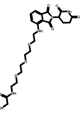 NCC(=O)NCCOCCOCCOCCNc1cccc2c1C(=O)N(C1CCC(=O)NC1=O)C2=O